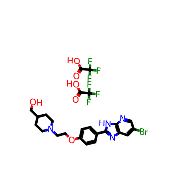 O=C(O)C(F)(F)F.O=C(O)C(F)(F)F.OCC1CCN(CCOc2ccc(-c3nc4cc(Br)cnc4[nH]3)cc2)CC1